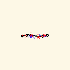 NC(Cc1ccc(OCc2ccccc2)cc1)C(=O)OCCCCCCOC(=O)C(N)Cc1ccc(OCc2ccccc2)cc1